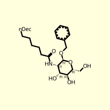 CCCCCCCCCCCCCCCC(=O)N[C@@H]1[C@@H](OCc2ccccc2)O[C@H](CO)[C@@H](O)[C@@H]1O